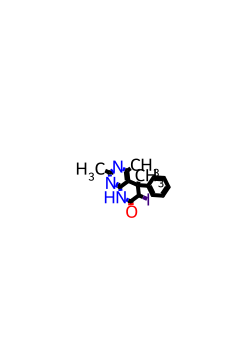 Cc1nc(C)c2c(n1)NC(=O)C(I)C2(C)c1ccccc1